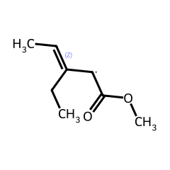 C/C=C(/[CH]C(=O)OC)CC